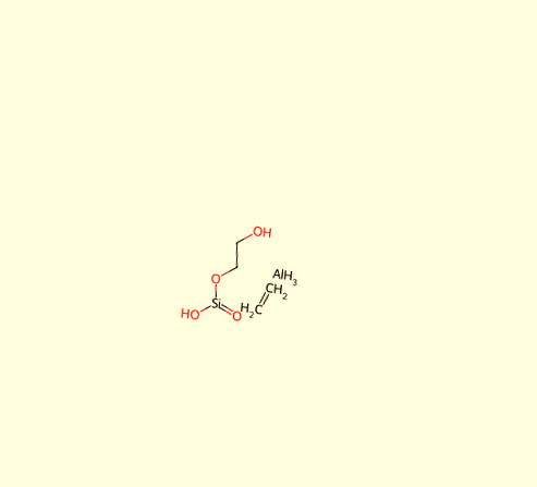 C=C.O=[Si](O)OCCO.[AlH3]